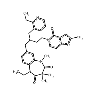 CCN1C(=O)C(C)(C)C(=O)N(C)c2cc(CN(CCn3ccc4oc(C)cc4c3=O)Cc3cccnc3OC)ccc21